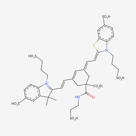 CCOC(=O)C1(C(=O)NCCS(=O)(=O)O)CC(/C=C/C2=[N+](CCCS(=O)(=O)O)c3ccc(S(=O)(=O)O)cc3C2(C)C)=CC(=C/C=C2\Sc3cc(S(=O)(=O)O)ccc3N2CCCS(=O)(=O)O)/C1